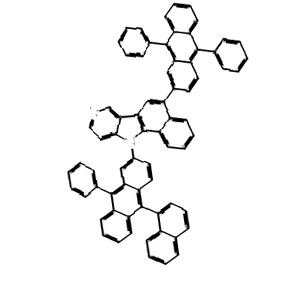 c1ccc(-c2c3ccccc3c(-c3ccccc3)c3cc(-c4cc5c6cnccc6n(-c6ccc7c(-c8cccc9ccccc89)c8ccccc8c(-c8ccccc8)c7c6)c5c5ccccc45)ccc23)cc1